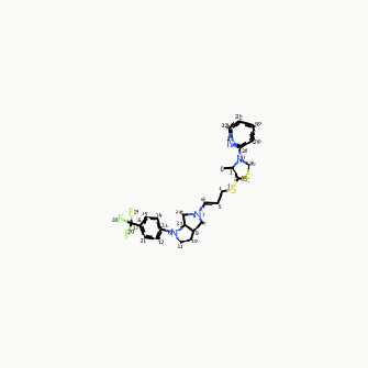 CC1C(SCCCN2CC3CCN(c4ccc(C(F)(F)F)cc4)C3C2)SCN1c1ccccn1